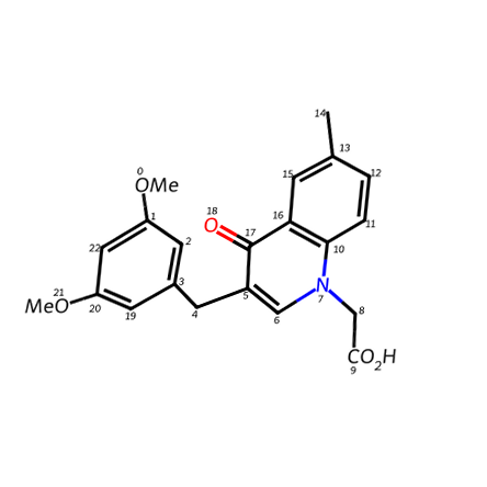 COc1cc(Cc2cn(CC(=O)O)c3ccc(C)cc3c2=O)cc(OC)c1